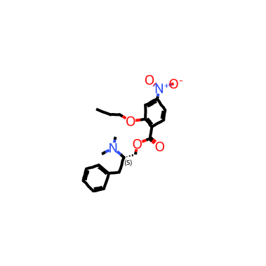 CCCOc1cc([N+](=O)[O-])ccc1C(=O)OC[C@H](Cc1ccccc1)N(C)C